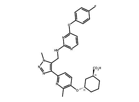 Cc1nc(-c2nnn(C)c2CNc2nccc(Oc3ccc(F)cc3)n2)ccc1O[C@H]1CCC[C@H](C(=O)O)C1